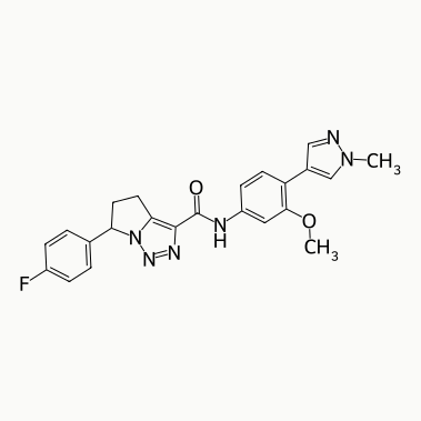 COc1cc(NC(=O)c2nnn3c2CCC3c2ccc(F)cc2)ccc1-c1cnn(C)c1